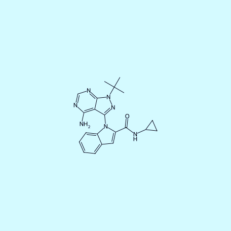 CC(C)(C)n1nc(-n2c(C(=O)NC3CC3)cc3ccccc32)c2c(N)ncnc21